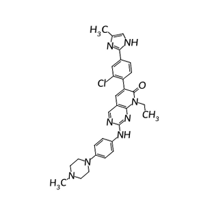 CCn1c(=O)c(-c2ccc(-c3nc(C)c[nH]3)cc2Cl)cc2cnc(Nc3ccc(N4CCN(C)CC4)cc3)nc21